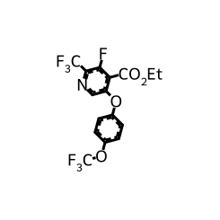 CCOC(=O)c1c(Oc2ccc(OC(F)(F)F)cc2)cnc(C(F)(F)F)c1F